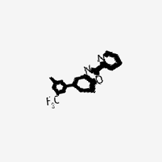 Cc1cc(C2CCc3oc(-c4ccccn4)nc3C2)cc(C(F)(F)F)c1